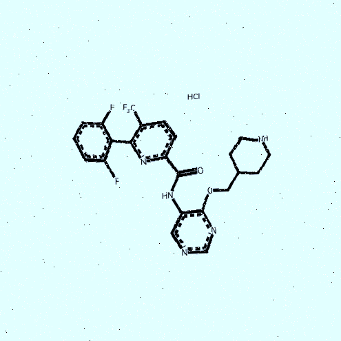 Cl.O=C(Nc1cncnc1OCC1CCNCC1)c1ccc(C(F)(F)F)c(-c2c(F)cccc2F)n1